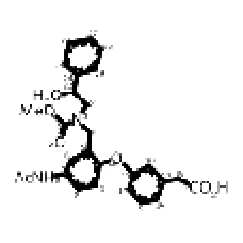 COC(=O)N(Cc1cc(NC(C)=O)ccc1Oc1cccc(CC(=O)O)c1)C[C@@H](C)c1ccccc1